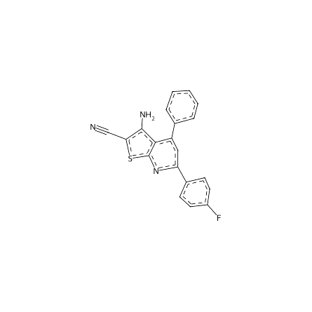 N#Cc1sc2nc(-c3ccc(F)cc3)cc(-c3ccccc3)c2c1N